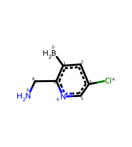 Bc1cc(Cl)cnc1CN